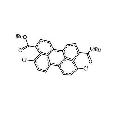 CC(C)COC(=O)c1ccc2c3ccc(C(=O)OCC(C)C)c4c(Cl)ccc(c5ccc(Cl)c1c52)c43